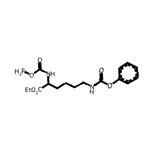 CCOC(=O)C(CCCCNC(=O)Oc1ccccc1)NC(=O)OP